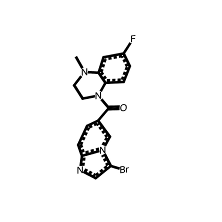 CN1CCN(C(=O)c2ccc3ncc(Br)n3c2)c2ccc(F)cc21